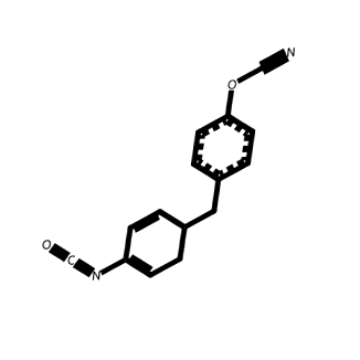 N#COc1ccc(CC2C=CC(N=C=O)=CC2)cc1